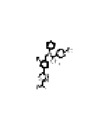 C=C(C1CCN(CC)CC1)N(Cc1ccc(C2=NN=C(C(F)F)OC2)cc1F)c1ccccc1